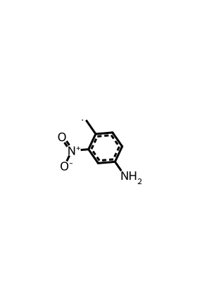 [CH2]c1ccc(N)cc1[N+](=O)[O-]